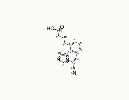 N#CC(=Cc1cccc(CCCC(=O)O)c1)n1cncn1